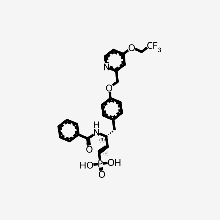 O=C(N[C@@H](/C=C/P(=O)(O)O)Cc1ccc(OCc2cc(OCC(F)(F)F)ccn2)cc1)c1ccccc1